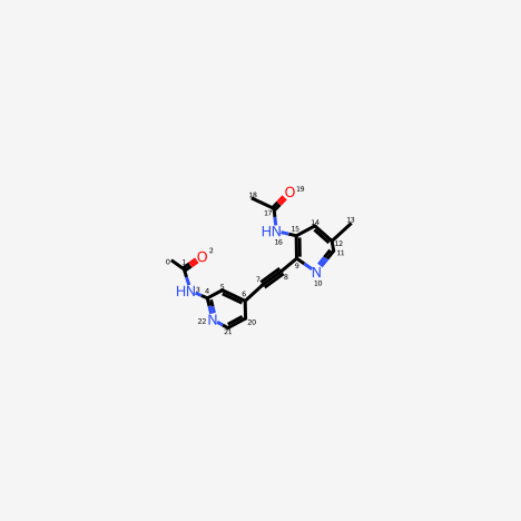 CC(=O)Nc1cc(C#Cc2ncc(C)cc2NC(C)=O)ccn1